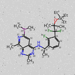 CC[Si](CC)(CC)OC(C)(C)C(F)(F)c1cccc([C@@H](C)Nc2nc(C)nc3c(C)nc(P(C)C)cc23)c1F